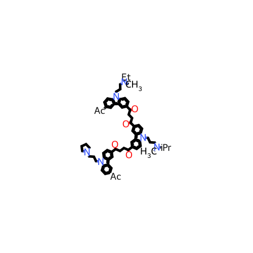 CCN(C)CCCn1c2ccc(C(C)=O)cc2c2cc(C(=O)CCC(=O)c3ccc4c(c3)c3cc(C(=O)CCC(=O)c5ccc6c(c5)c5cc(C(C)=O)ccc5n6CCCN5CCCC5)ccc3n4CCCN(C)C(C)C)ccc21